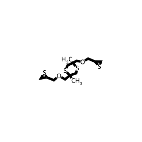 CC1(COCC2CS2)CSC(C)(COCC2CS2)CS1